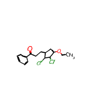 CCOC1CC(CCC(=O)c2ccccc2)C(Cl)C1Cl